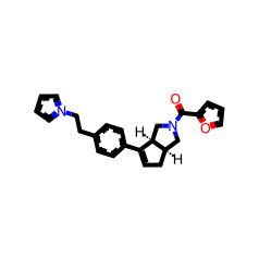 O=C(c1ccco1)N1C[C@H]2CC=C(c3ccc(CCn4cccc4)cc3)[C@H]2C1